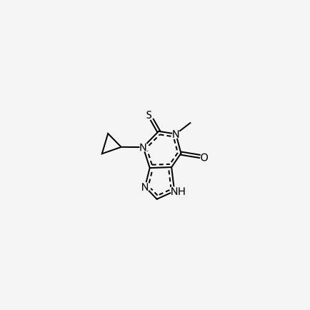 Cn1c(=O)c2[nH]cnc2n(C2CC2)c1=S